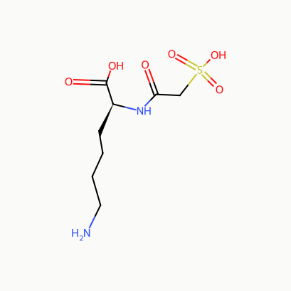 NCCCC[C@H](NC(=O)CS(=O)(=O)O)C(=O)O